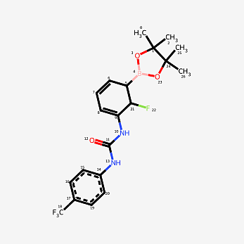 CC1(C)OB(C2C=CC=C(NC(=O)Nc3ccc(C(F)(F)F)cc3)C2F)OC1(C)C